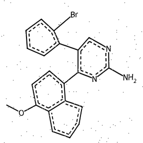 COc1ccc(-c2nc(N)ncc2-c2ccccc2Br)c2ccccc12